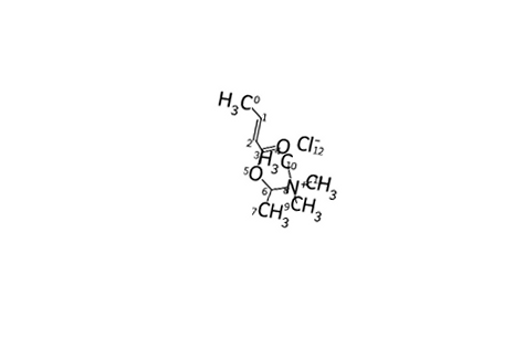 CC=CC(=O)OC(C)[N+](C)(C)C.[Cl-]